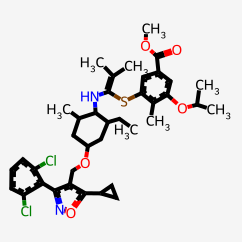 CCC1CC(OCc2c(-c3c(Cl)cccc3Cl)noc2C2CC2)CC(C)C1NC(Sc1cc(C(=O)OC)cc(OC(C)C)c1C)=C(C)C